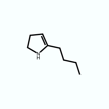 [CH2]CCCC1=CCCN1